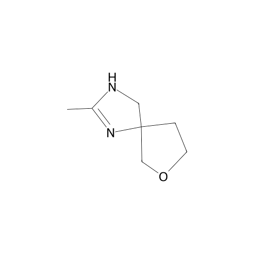 CC1=NC2(CCOC2)CN1